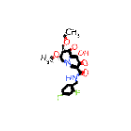 CCOC[C@H]1C(=O)c2c(O)c(=O)c(C(=O)NCc3ccc(F)cc3F)cn2C[C@@H]1OC